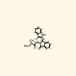 CON(C)C(=O)[C@H](Cc1c[nH]c2ccccc12)N1C(=O)c2ccccc2C1=O